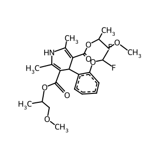 COCC(C)OC(=O)C1=C(C)NC(C)=C(C(=O)OC(C)COC)C1c1ccccc1OC(F)F